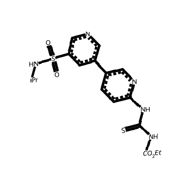 CCOC(=O)NC(=S)Nc1ccc(-c2cncc(S(=O)(=O)NC(C)C)c2)cn1